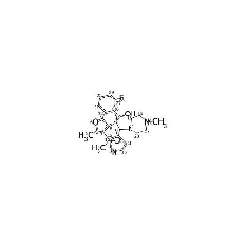 CC(=O)c1c(C)oc2c1c(C(c1ccncc1)N1CCN(C)CC1)c(O)c1c(F)cccc12